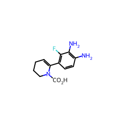 Nc1ccc(C2=CCCCN2C(=O)O)c(F)c1N